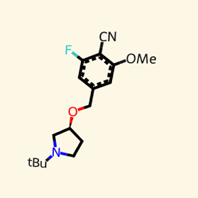 COc1cc(CO[C@H]2CCN(C(C)(C)C)C2)cc(F)c1C#N